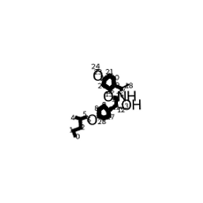 CCCC(C)COc1ccc([C@@H](CO)C(=O)N[C@H](C)c2ccc(OC)cc2)cc1